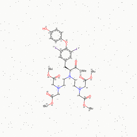 COC(=O)[C@H](Cc1cc(I)c(Oc2ccc(O)cc2)c(I)c1)N(CCN(CC(=O)OC(C)(C)C)CC(=O)OC(C)(C)C)CCN(CC(=O)OC(C)(C)C)CC(=O)OC(C)(C)C